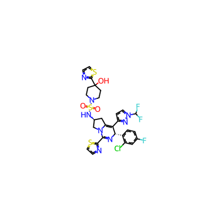 O=S(=O)(N[C@H]1CC2=C(c3ccn(C(F)F)n3)[C@H](c3ccc(F)cc3Cl)N=C(c3nccs3)N2C1)N1CCC(O)(c2nccs2)CC1